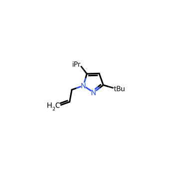 C=CCn1nc(C(C)(C)C)cc1C(C)C